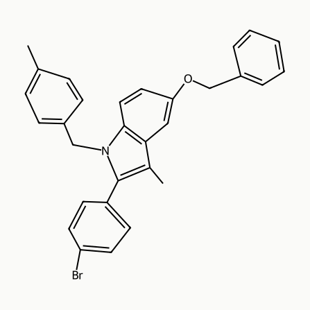 Cc1ccc(Cn2c(-c3ccc(Br)cc3)c(C)c3cc(OCc4ccccc4)ccc32)cc1